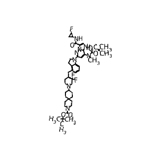 CN(C(=O)OC(C)(C)C)c1cc(N2CCc3c(CC4CCN(C5CCC6(CC5)CCN(C(=O)OC(C)(C)C)CC6)CC4(F)F)cccc32)nn2c(C(=O)N[C@@H]3C[C@@H]3F)cnc12